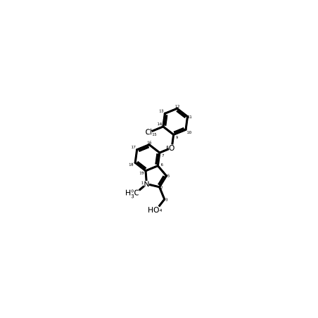 Cn1c(CO)cc2c(Oc3ccccc3Cl)cccc21